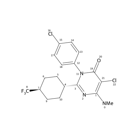 CNc1nc([C@H]2CC[C@H](C(F)(F)F)CC2)n(-c2ccc(Cl)cc2)c(=O)c1Cl